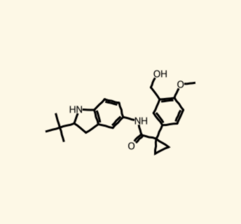 COc1ccc(C2(C(=O)Nc3ccc4c(c3)CC(C(C)(C)C)N4)CC2)cc1CO